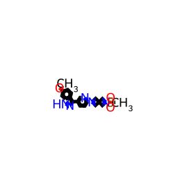 COc1ccc2c(-c3ccc(N4CC5(C4)CN(S(C)(=O)=O)C5)nc3)n[nH]c2c1